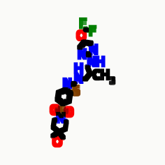 CC(CNc1ncc(OC(F)F)cn1)CNc1nc2ccc(S(=O)(=O)N3CCC4(CC3)COC4)cc2s1